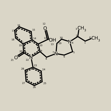 CCC(C)N1CCN(Cc2c(C(=O)O)c3ccccc3c(=O)n2-c2ccccc2)CC1